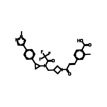 Cc1cc(C=CC(=O)N2CC(CN(C(=O)C(F)(F)F)C3CC3c3ccc(-c4cnn(C)c4)cc3)C2)ccc1C(=O)O